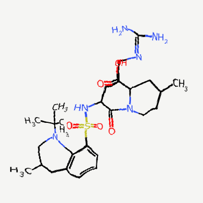 CC1CCN(C(=O)C(CCCN=C(N)N)NS(=O)(=O)c2cccc3c2N(C(C)(C)C)CC(C)C3)C(C(=O)O)C1